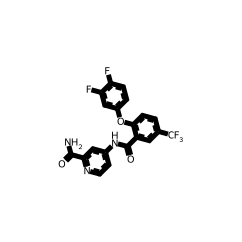 NC(=O)c1cc(NC(=O)c2cc(C(F)(F)F)ccc2Oc2ccc(F)c(F)c2)ccn1